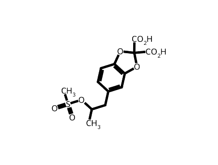 CC(Cc1ccc2c(c1)OC(C(=O)O)(C(=O)O)O2)OS(C)(=O)=O